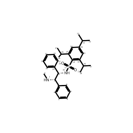 CN[C@@H](c1ccccc1)[C@@H](NS(=O)(=O)c1c(C(C)C)cc(C(C)C)cc1C(C)C)c1ccccc1